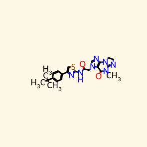 CN1C(=O)c2c(ncn2CC(=O)Nc2nc(-c3ccc(C(C)(C)C)cc3)cs2)N2CCN=C12